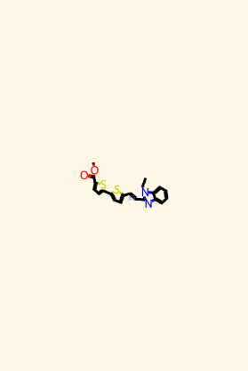 CCn1c(/C=C/c2ccc(-c3ccc(C(=O)OC)s3)s2)nc2ccccc21